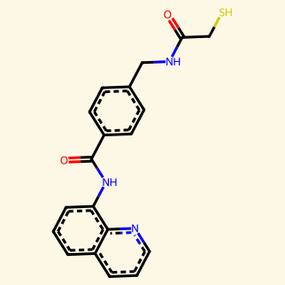 O=C(CS)NCc1ccc(C(=O)Nc2cccc3cccnc23)cc1